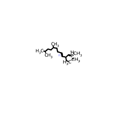 CCC(C=[PH](C)C)/C=C/CCC(C)CCC(C)C